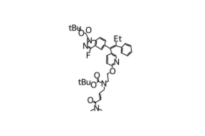 CC/C(=C(/c1ccc(OCCN(C/C=C/C(=O)N(C)C)C(=O)OC(C)(C)C)nc1)c1ccc2c(c1)c(F)nn2C(=O)OC(C)(C)C)c1ccccc1